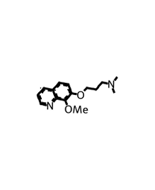 COc1c(OCCCN(C)C)ccc2[c]ccnc12